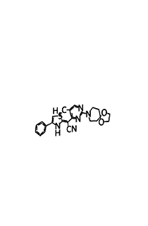 Cc1cnc(N2CCC3(CC2)OCCO3)nc1/C(C#N)=C1/NC(c2ccccc2)=CS1